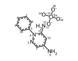 Nc1cn[n+](-c2ccccc2)c(N)c1.[O-][Cl+3]([O-])([O-])[O-]